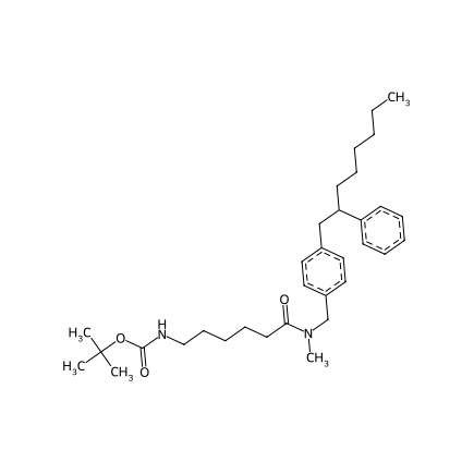 CCCCCCC(Cc1ccc(CN(C)C(=O)CCCCCNC(=O)OC(C)(C)C)cc1)c1ccccc1